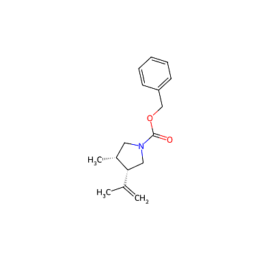 C=C(C)[C@H]1CN(C(=O)OCc2ccccc2)C[C@H]1C